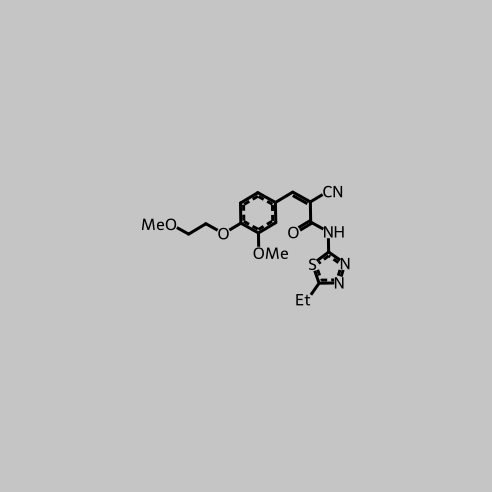 CCc1nnc(NC(=O)C(C#N)=Cc2ccc(OCCOC)c(OC)c2)s1